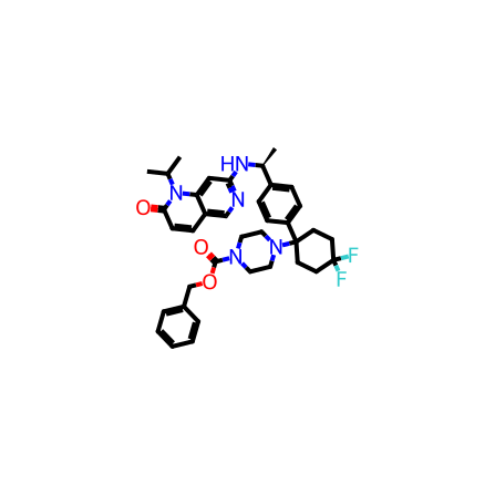 CC(C)n1c(=O)ccc2cnc(N[C@@H](C)c3ccc(C4(N5CCN(C(=O)OCc6ccccc6)CC5)CCC(F)(F)CC4)cc3)cc21